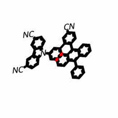 N#Cc1ccc(-c2c3ccccc3c(-c3ccccc3)c3ccccc23)c(-c2cccc(-n3c4ccc(C#N)cc4c4cc(C#N)ccc43)c2)c1